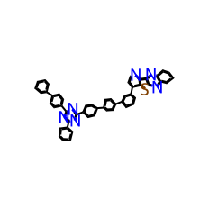 c1ccc(-c2ccc(-c3nc(-c4ccccc4)nc(-c4ccc(-c5ccc(-c6cccc(-c7ccnc8c7sc7nc9ccccc9nc78)c6)cc5)cc4)n3)cc2)cc1